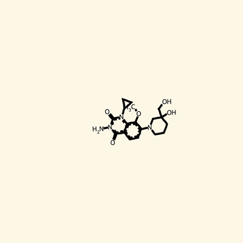 COc1c(N2CCCC(O)(CO)C2)ccc2c(=O)n(N)c(=O)n(C3CC3)c12